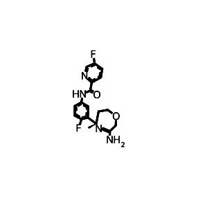 C[C@@]1(c2cc(NC(=O)c3ccc(F)cn3)ccc2F)CCOCC(N)=N1